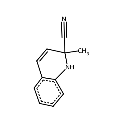 CC1(C#N)C=Cc2ccccc2N1